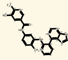 Cc1ccc(NC(=O)c2cnc(C(F)(F)F)c(C#N)c2)cc1Nc1ncccc1-c1ncnc2[nH]cnc12